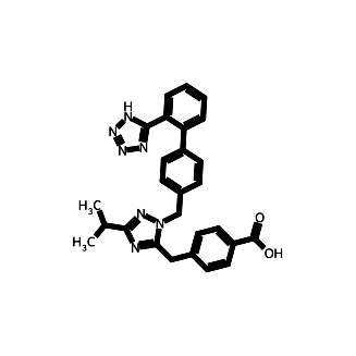 CC(C)c1nc(Cc2ccc(C(=O)O)cc2)n(Cc2ccc(-c3ccccc3-c3nnn[nH]3)cc2)n1